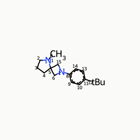 CN1CCCC12CN(c1ccc(C(C)(C)C)cc1)C2